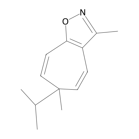 Cc1noc2c1C=CC(C)(C(C)C)C=C2